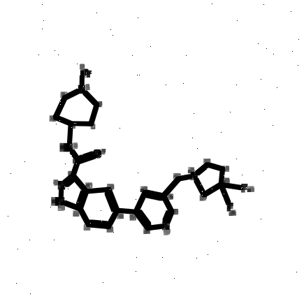 CC(C)N1CCC(NC(=O)c2n[nH]c3ccc(-c4cncc(CN5CCC(F)(F)C5)c4)cc23)CC1